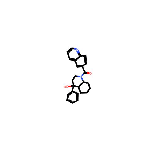 O=C(c1ccc2ncccc2c1)N1CCC(O)(c2ccccc2)C2CCCCC21